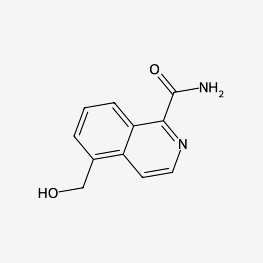 NC(=O)c1nccc2c(CO)cccc12